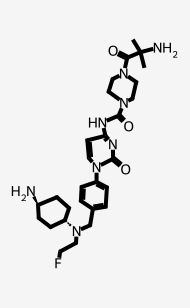 CC(C)(N)C(=O)N1CCN(C(=O)Nc2ccn(-c3ccc(CN(CCF)[C@H]4CC[C@H](N)CC4)cc3)c(=O)n2)CC1